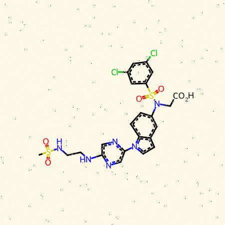 CS(=O)(=O)NCCNc1cnc(-n2ccc3cc(N(CC(=O)O)S(=O)(=O)c4cc(Cl)cc(Cl)c4)ccc32)cn1